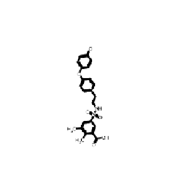 Cc1cc(S(=O)(=O)NCCc2ccc(Oc3ccc(Cl)cc3)cc2)cc(C(=O)O)c1C